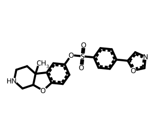 CC12CCNCC1Oc1ccc(OS(=O)(=O)c3ccc(-c4cnco4)cc3)cc12